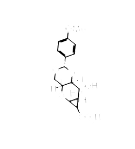 COc1ccc([C@@H]2OC[C@H]3O[C@@H]4C(C(=O)O)[C@@H]4[C@@H](O)[C@@H]3O2)cc1